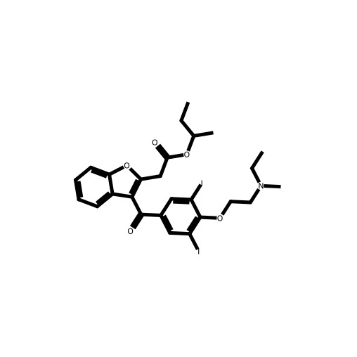 CCC(C)OC(=O)Cc1oc2ccccc2c1C(=O)c1cc(I)c(OCCN(C)CC)c(I)c1